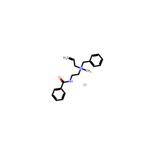 C=CC[N+](C)(CCNC(=O)c1ccccc1)Cc1ccccc1.[Cl-]